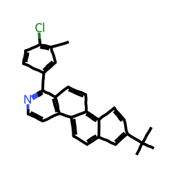 Cc1cc(-c2nccc3c2ccc2c4ccc(C(C)(C)C)cc4ccc32)ccc1Cl